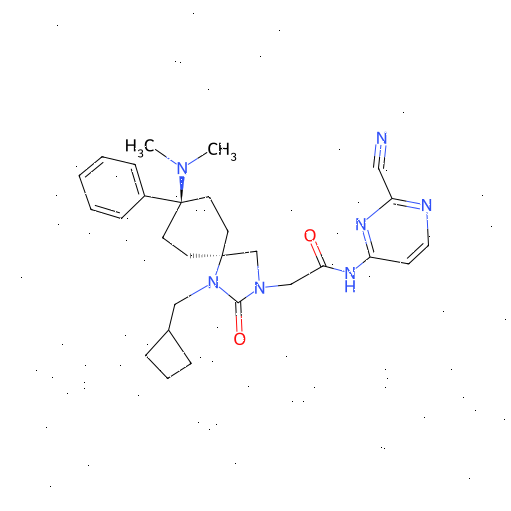 CN(C)[C@]1(c2ccccc2)CC[C@]2(CC1)CN(CC(=O)Nc1ccnc(C#N)n1)C(=O)N2CC1CCC1